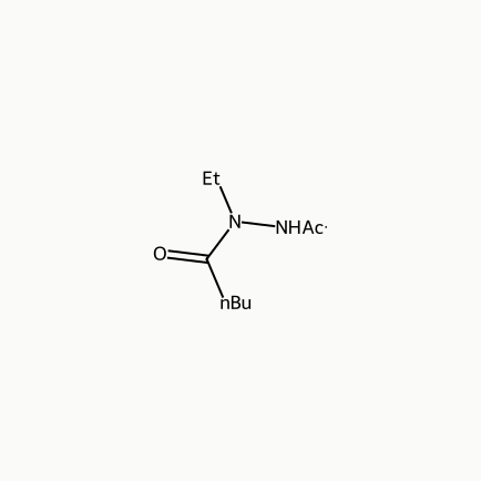 CCCCC(=O)N(CC)[N]C(C)=O